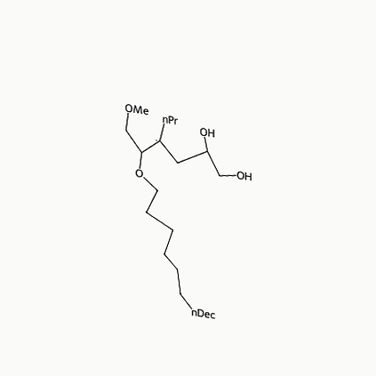 CCCCCCCCCCCCCCCCOC(COC)[C](CCC)CC(O)CO